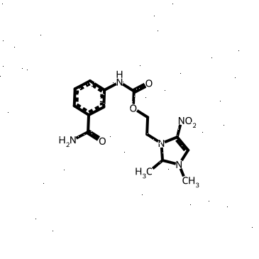 CC1N(C)C=C([N+](=O)[O-])N1CCOC(=O)Nc1cccc(C(N)=O)c1